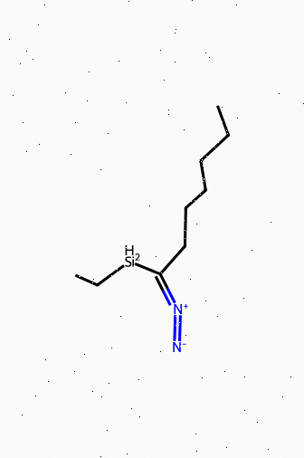 CCCCCCC(=[N+]=[N-])[SiH2]CC